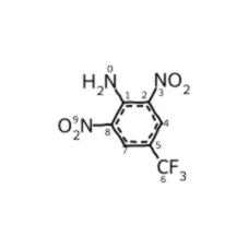 Nc1c([N+](=O)[O-])cc(C(F)(F)F)cc1[N+](=O)[O-]